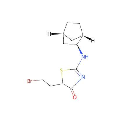 O=C1N=C(N[C@H]2C[C@@H]3CC[C@H]2C3)SC1CCBr